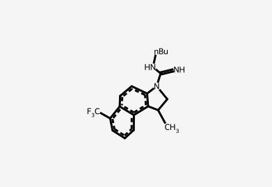 CCCCNC(=N)N1CC(C)c2c1ccc1c(C(F)(F)F)cccc21